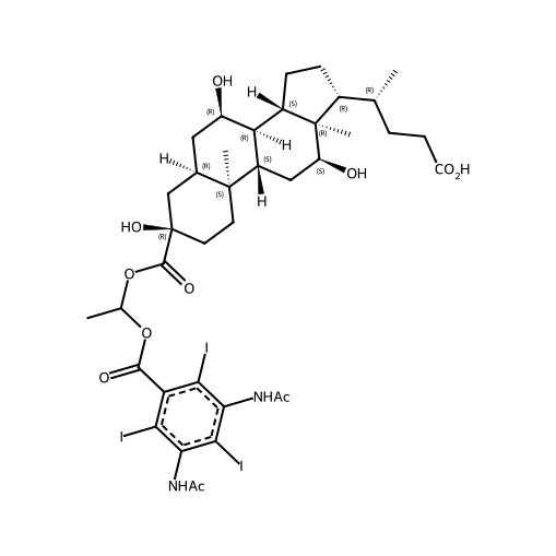 CC(=O)Nc1c(I)c(NC(C)=O)c(I)c(C(=O)OC(C)OC(=O)[C@@]2(O)CC[C@@]3(C)[C@H](C[C@@H](O)[C@@H]4[C@@H]3C[C@H](O)[C@]3(C)[C@@H]([C@H](C)CCC(=O)O)CC[C@@H]43)C2)c1I